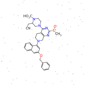 C[S+]([O-])c1nc2c(c(N3CCN(C(=O)O)C(CC#N)C3)n1)CCN(c1cc(OCc3ccccc3)cc3ccccc13)C2